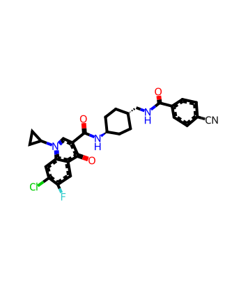 N#Cc1ccc(C(=O)NC[C@H]2CC[C@H](NC(=O)c3cn(C4CC4)c4cc(Cl)c(F)cc4c3=O)CC2)cc1